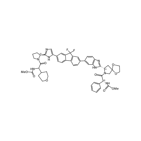 COC(=O)NC(C(=O)N1CCC[C@H]1c1ncc(-c2ccc3c(c2)C(F)(F)c2cc(-c4ccc5nc([C@@H]6CC7(CN6C(=O)[C@H](NC(=O)OC)c6ccccc6)OCCO7)[nH]c5c4)ccc2-3)[nH]1)C1CCOCC1